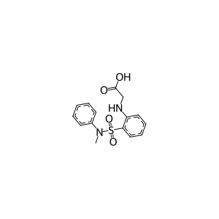 CN(c1ccccc1)S(=O)(=O)c1ccccc1NCC(=O)O